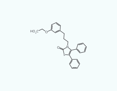 O=C(O)COc1cccc(CCCn2c(-c3ccccc3)c(-c3ccccc3)sc2=O)c1